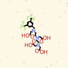 O=C(O)CN(CCN(CC(=O)O)CC(=O)O)CCN(CC(=O)O)Cc1cc(C(F)(F)F)cc(C(F)(F)F)c1